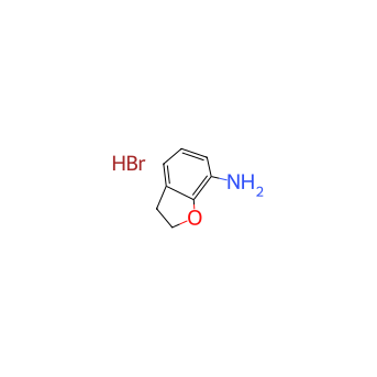 Br.Nc1cccc2c1OCC2